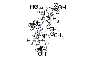 COCC[N+]1=C(/C=C/C=C/C=C2/N(CCO)c3ccc(S(=O)(=O)O)cc3C2(C)CCOC)C(C)(CCCS(=O)(=O)O)c2cc(S(=O)(=O)O)ccc21